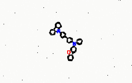 C1=c2oc3ccccc3c2=CCC1N(c1ccccc1)c1ccc(-c2ccc(-n3c4ccccc4c4ccccc43)cc2)cc1